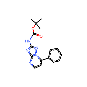 CC(C)(C)OC(=O)Nc1nc2nccc(-c3ccccc3)n2n1